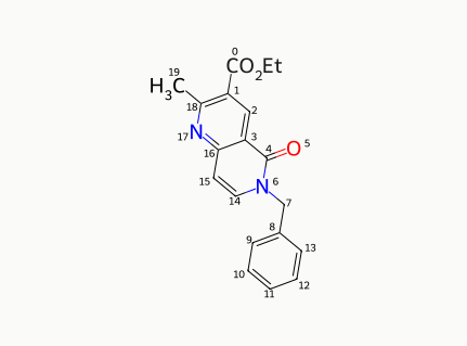 CCOC(=O)c1cc2c(=O)n(Cc3ccccc3)ccc2nc1C